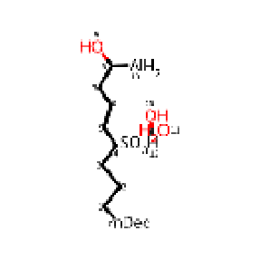 CCCCCCCCCCCCCCCCC[CH](O)[AlH2].O.O=S(=O)(O)O